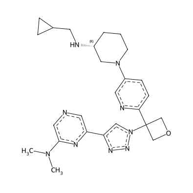 CN(C)c1cncc(-c2cn(C3(c4ccc(N5CCC[C@@H](NCC6CC6)C5)cn4)COC3)nn2)n1